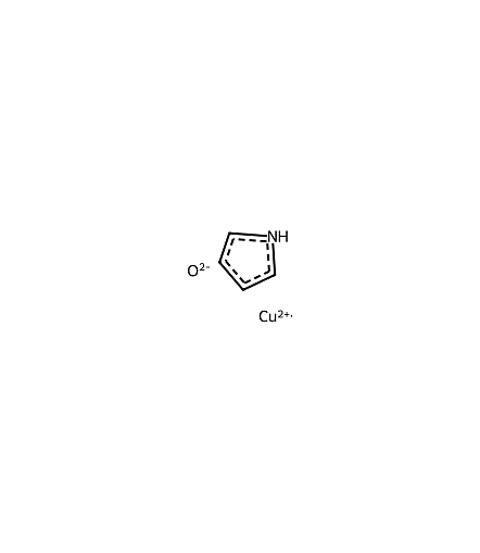 [Cu+2].[O-2].c1cc[nH]c1